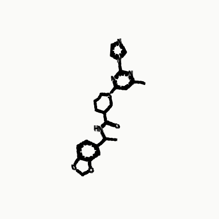 Cc1cc(N2CCCC(C(=O)NC(C)c3ccc4c(c3)OCO4)C2)nc(-n2ccnc2)n1